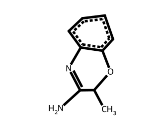 CC1Oc2ccccc2N=C1N